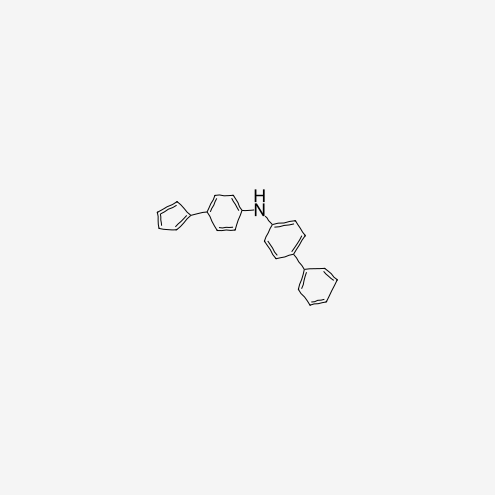 C1=CC=C(c2ccc(Nc3ccc(-c4ccccc4)cc3)cc2)C=1